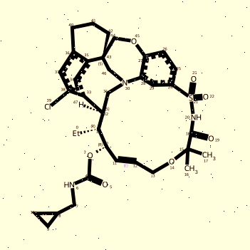 CC[C@H]1[C@@H](OC(=O)NCC2CC2)/C=C/COC(C)(C)C(=O)NS(=O)(=O)c2ccc3c(c2)N2C[C@@H]1c1cc4c(cc1Cl)CCC[C@@]4(CO3)C2